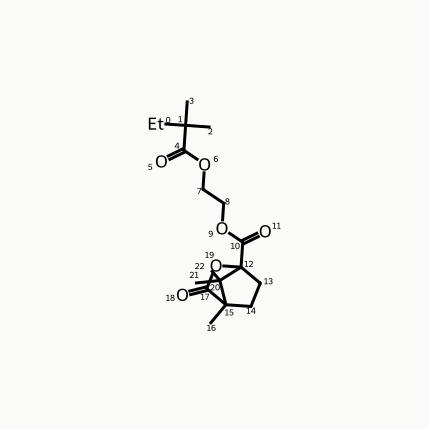 CCC(C)(C)C(=O)OCCOC(=O)C12CCC(C)(C(=O)O1)C2(C)C